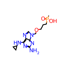 CP(=O)(O)CCCOCn1cnc2c(NC3CC3)nc(N)nc21